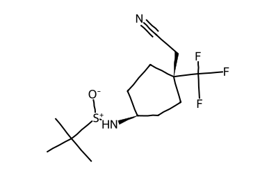 CC(C)(C)[S+]([O-])N[C@H]1CC[C@](CC#N)(C(F)(F)F)CC1